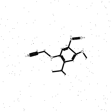 COc1cc(C(C)C)c(OCC#N)cc1N=O